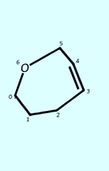 [CH]1CCC=CCO1